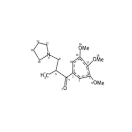 COc1cc(C(=O)C(C)CN2CCCC2)cc(OC)c1OC